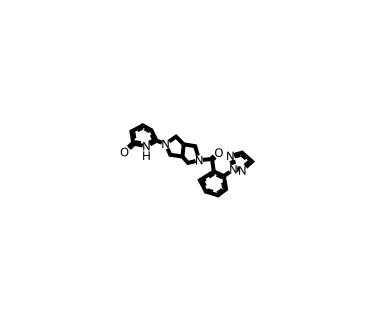 O=C(c1ccccc1-n1nccn1)N1CC2CN(c3cccc(=O)[nH]3)CC2C1